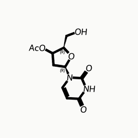 CC(=O)OC1C[C@H](n2ccc(=O)[nH]c2=O)O[C@@H]1CO